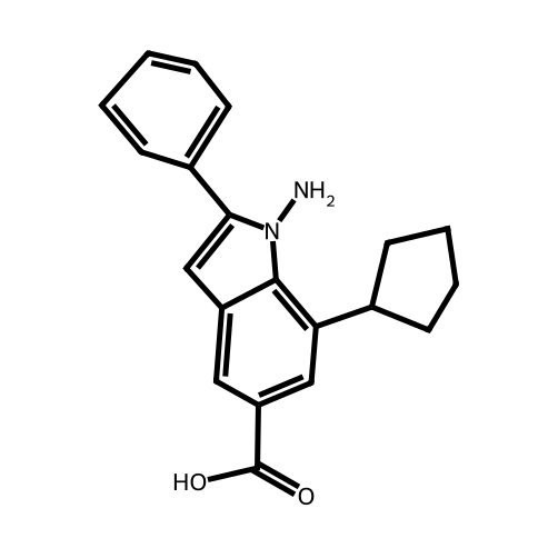 Nn1c(-c2ccccc2)cc2cc(C(=O)O)cc(C3CCCC3)c21